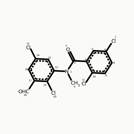 CN(C(=O)c1cc(Cl)ccc1Cl)c1cc(Cl)cc([C]=O)c1Cl